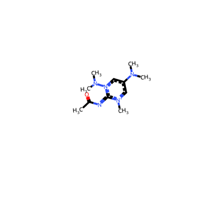 CC(=O)/N=c1\n(N(C)C)cc(N(C)C)c[n+]1C